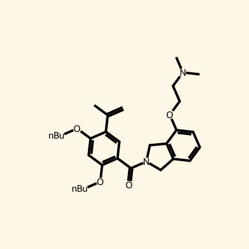 C=C(C)c1cc(C(=O)N2Cc3cccc(OCCN(C)C)c3C2)c(OCCCC)cc1OCCCC